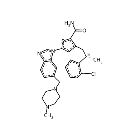 C[C@@H](Cc1cc(-n2cnc3ccc(CN4CCN(C)CC4)cc32)sc1C(N)=O)c1ccccc1Cl